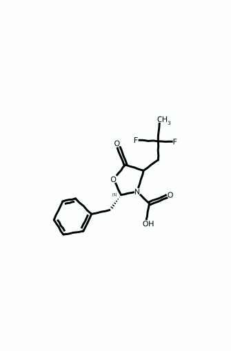 CC(F)(F)CC1C(=O)O[C@@H](Cc2ccccc2)N1C(=O)O